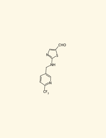 O=Cc1cnc(NCc2ccc(C(F)(F)F)nc2)s1